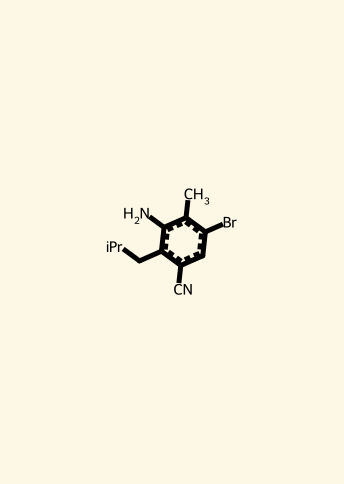 Cc1c(Br)cc(C#N)c(CC(C)C)c1N